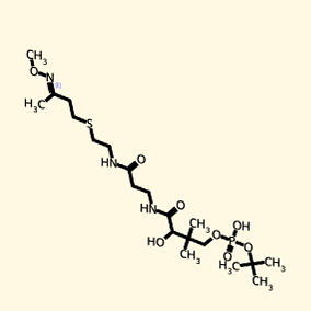 CO/N=C(\C)CCSCCNC(=O)CCNC(=O)C(O)C(C)(C)COP(=O)(O)OC(C)(C)C